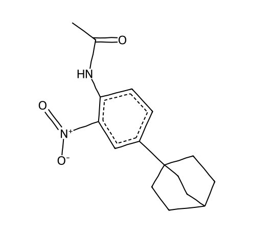 CC(=O)Nc1ccc(C23CCC(CC2)CC3)cc1[N+](=O)[O-]